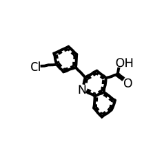 O=C(O)c1cc(-c2cccc(Cl)c2)nc2ccccc12